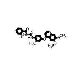 COc1cc2nccc(Oc3ccc(NC(=S)NC(=O)c4ccccc4Cl)c(C)c3)c2cc1OC